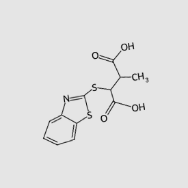 CC(C(=O)O)C(Sc1nc2ccccc2s1)C(=O)O